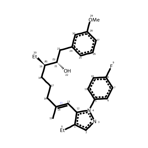 CCc1cnn(-c2ccc(F)cc2)c1/C=C(\C)CCC[C@@H](CC)[C@@H](O)Cc1cccc(OC)c1